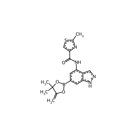 C=C1OB(c2cc(NC(=O)c3csc(C)n3)c3cn[nH]c3c2)OC1(C)C